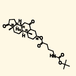 CC(C)(C)OC(=O)NCCCC(=O)O[C@H]1CC[C@@]2(C)C(C1)C(=O)C[C@@H]1[C@@H]2CC[C@]2(C)C(=O)CC[C@@H]12